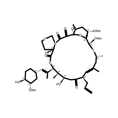 C=CC[C@@H]1/C=C(\C)C[C@@H](C)C[C@H](OC)[C@H]2O[C@@](O)(C(=O)C(=O)N3CCCC[C@H]3C(=O)O[C@H](/C(C)=C/[C@H]3CC[C@H](O)[C@@H](OC)C3)[C@H](C)[C@H](O)CC1=O)C(C)C[C@@H]2OC